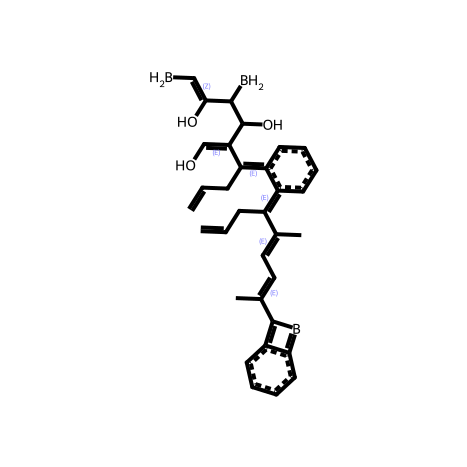 B/C=C(\O)C(B)C(O)C(=C/O)/C(CC=C)=c1\cccc\c1=C(CC=C)/C(C)=C/C=C(\C)C1=c2ccccc2=B1